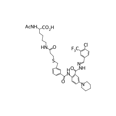 CC(=O)NC(CCCCNC(=O)CCSCc1cccc(C(=O)Nc2ccc(N3CCCCC3)cc2C(=O)NN=Cc2ccc(Cl)c(C(F)(F)F)c2)c1)C(=O)O